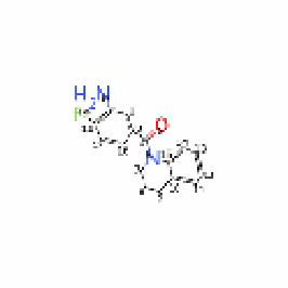 Nc1cc(C(=O)N2CCCc3ccccc32)ccc1F